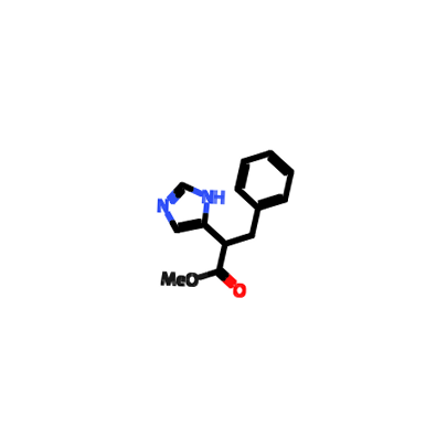 COC(=O)C(Cc1ccccc1)c1cnc[nH]1